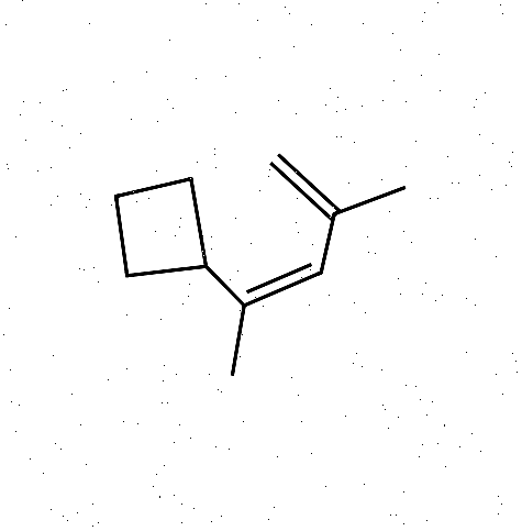 C=C(C)/C=C(/C)C1CCC1